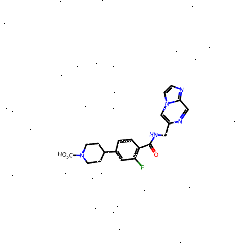 O=C(NCc1cn2ccnc2cn1)c1ccc(C2CCN(C(=O)O)CC2)cc1F